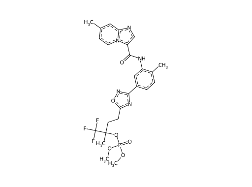 COP(=O)(OC)OC(C)(CCc1nc(-c2ccc(C)c(NC(=O)c3cnc4cc(C)ccn34)c2)no1)C(F)(F)F